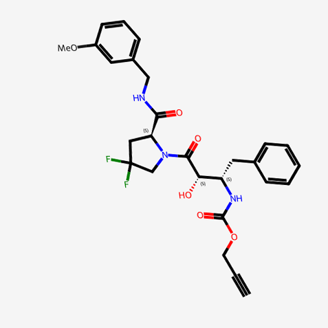 C#CCOC(=O)N[C@@H](Cc1ccccc1)[C@H](O)C(=O)N1CC(F)(F)C[C@H]1C(=O)NCc1cccc(OC)c1